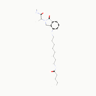 CCCC(C(=O)NC=O)N1Cc2c(NCCCCCCCCNC(=O)CCCC(=O)O)cccc2C1=O